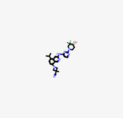 CC(C)c1ccc(N2CC(C)(C#N)C2)c2cnc(Nc3ccnc(N4CC[C@@H](O)[C@@](C)(F)C4)n3)cc12